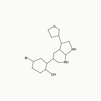 OC1CCC(Br)CC1C1CNC2NCC(C3CCOC3)C2C1